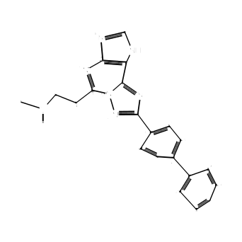 C[S+]([O-])CCc1nc2nc[nH]c2c2nc(-c3ccc(-c4ccccc4)cc3)nn12